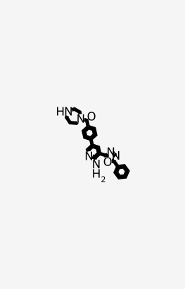 Nc1ncc(-c2ccc(C(=O)N3CCCNCC3)cc2)cc1-c1nnc(-c2ccccc2)o1